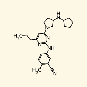 CCCc1cc(N2CCC(NC3CCCC3)C2)nc(Nc2ccc(C)c(C#N)c2)n1